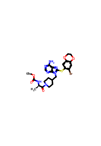 C[C@@H](NC(=O)OC(C)(C)C)C(=O)N1CCC(Cn2c(Sc3cc4c(cc3Br)OCCO4)nc3c(N)ncnc32)CC1